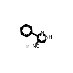 N#Cc1c[nH]nc1-c1ccccc1.[Ir]